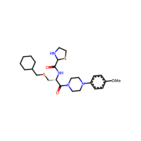 COc1ccc(N2CCN(C(=O)[C@H](CSCC3CCCCC3)NC(=O)C3N[CH]CS3)CC2)cc1